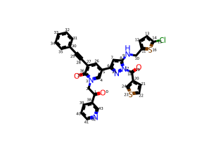 O=C(Cn1cc(-c2cc(NCc3ccc(Cl)s3)n(C(=O)c3ccsc3)n2)cc(C#Cc2ccccc2)c1=O)c1cccnc1